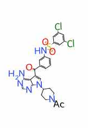 CC(=O)N1CCC(n2cc(C(=O)c3cccc(NS(=O)(=O)c4cc(Cl)cc(Cl)c4)c3)c3c(N)ncnc32)CC1